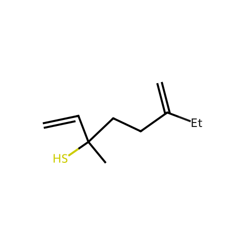 C=CC(C)(S)CCC(=C)CC